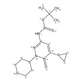 CC(C)(C)OC(=O)Nc1cc(C2CC2)c(=O)n(C2CCOCC2)n1